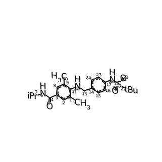 Cc1cc(C(=O)NC(C)C)cc(C)c1NCc1ccc(NS(=O)(=O)C(C)(C)C)cc1